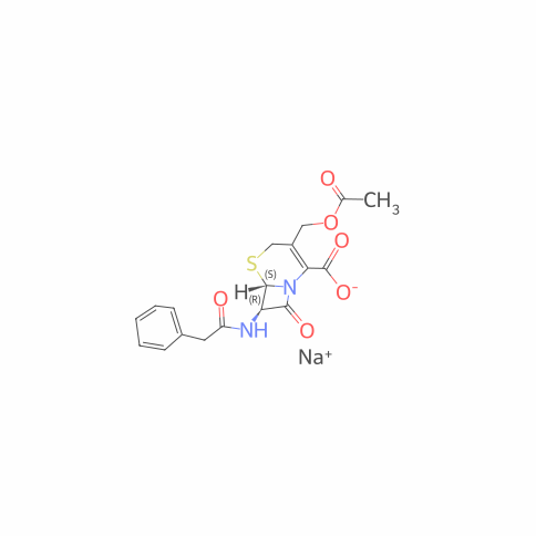 CC(=O)OCC1=C(C(=O)[O-])N2C(=O)[C@@H](NC(=O)Cc3ccccc3)[C@@H]2SC1.[Na+]